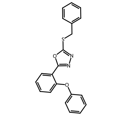 c1ccc(CSc2nnc(-c3ccccc3Oc3ccccc3)o2)cc1